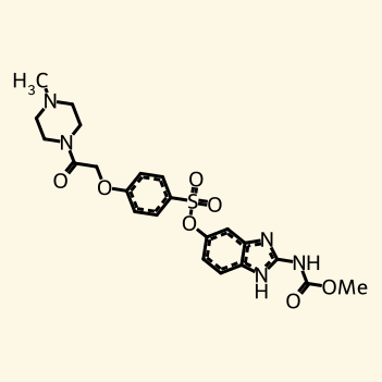 COC(=O)Nc1nc2cc(OS(=O)(=O)c3ccc(OCC(=O)N4CCN(C)CC4)cc3)ccc2[nH]1